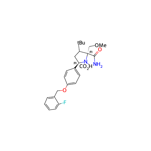 COC[C@@]1(C(N)=O)C(C(C)(C)C)C[C@H](c2ccc(OCc3ccccc3F)cc2)N1C(=O)O